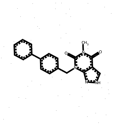 Cn1c(=O)c2c[nH]nc2n(Cc2ccc(-c3ccccc3)cc2)c1=O